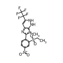 CCS(=O)(=O)c1cc([N+](=O)[O-])ccc1-c1nc2c(n1C)NNC(C(F)(F)C(F)(F)F)=C2